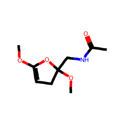 COC1=CCC(CNC(C)=O)(OC)O1